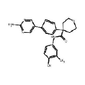 N#Cc1ccc(NC(=O)C2(c3ccc(-c4cnc(N)nc4)cc3)CCOCC2)cc1C(F)(F)F